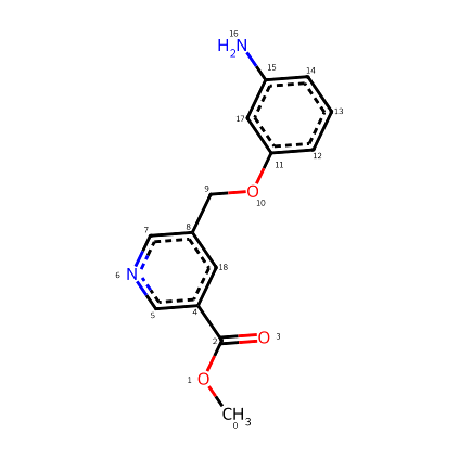 COC(=O)c1cncc(COc2cccc(N)c2)c1